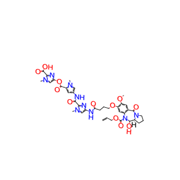 C=CCOC(=O)N1c2cc(OCCCC(=O)Nc3cn(C)c(C(=O)Nc4cc(C(=O)Oc5cn(C)c(C(=O)O)n5)n(C)c4)n3)c(OC)cc2C(=O)N2CCC[C@H]2C1O